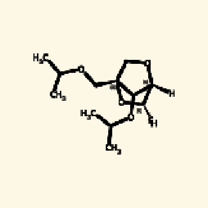 [3H][C@@H]1O[C@]2(COC(C)C)CO[C@H]1C2OC(C)C